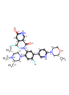 C[C@@H]1CN(c2ccc(-c3cc(NC(=O)c4c[nH]c(=O)cc4C(F)F)c(N4C[C@@H](C)N(C)[C@@H](C)C4)cc3F)cn2)CCO1